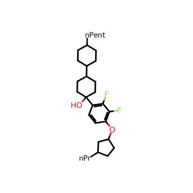 CCCCCC1CCC(C2CCC(O)(c3ccc(OC4CCC(CCC)C4)c(F)c3F)CC2)CC1